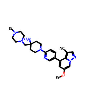 CCOc1cc(-c2ccc(N3CCC(N)(CN4CCN(CC)CC4)CC3)nc2)c2c(C#N)cnn2c1